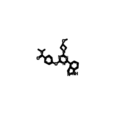 COC1CN(c2nc(Oc3ccc(C(=O)N(C)C)cc3)nc(-c3cccc4[nH]ncc34)n2)C1